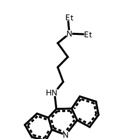 CCN(CC)CCCCNc1c2ccccc2nc2ccccc12